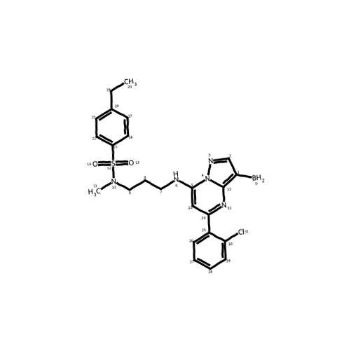 Bc1cnn2c(NCCCN(C)S(=O)(=O)c3ccc(CC)cc3)cc(-c3ccccc3Cl)nc12